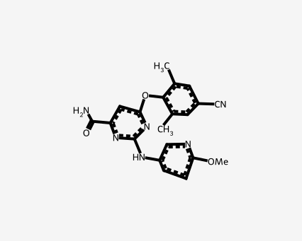 COc1ccc(Nc2nc(Oc3c(C)cc(C#N)cc3C)cc(C(N)=O)n2)cn1